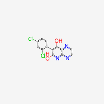 Oc1nc2nccnc2c(O)c1-c1ccc(Cl)cc1Cl